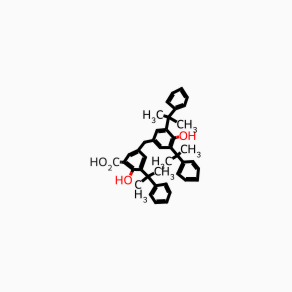 CC(C)(c1ccccc1)c1cc(Cc2cc(C(C)(C)c3ccccc3)c(O)c(C(C)(C)c3ccccc3)c2)cc(C(=O)O)c1O